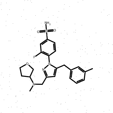 Cc1cccc(Cc2cc(CN(C)C3CCOC3)nn2-c2ccc(S(N)(=O)=O)cc2F)c1